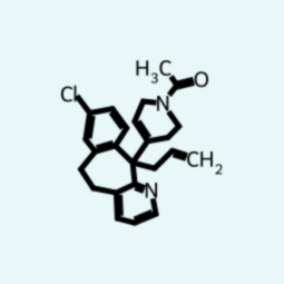 C=CCC1(C2=CCN(C(C)=O)CC2)c2ccc(Cl)cc2CCc2cccnc21